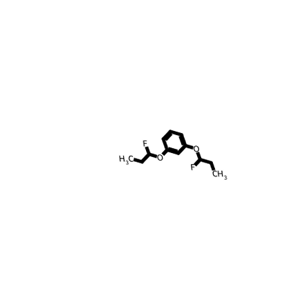 CCC(F)Oc1cccc(OC(F)CC)c1